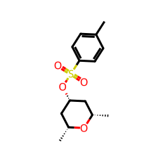 Cc1ccc(S(=O)(=O)O[C@H]2C[C@@H](C)O[C@@H](C)C2)cc1